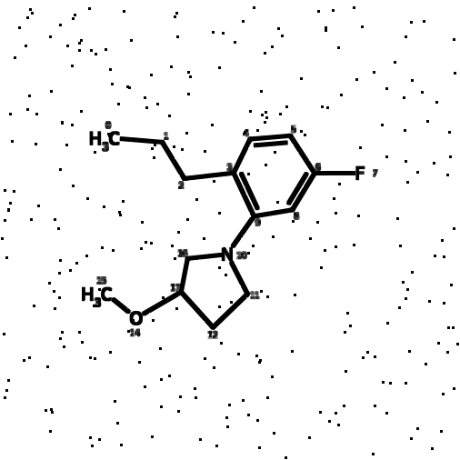 CCCc1ccc(F)cc1N1CCC(OC)C1